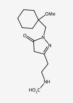 COC1(CN2N=C(CCNC(=O)O)CC2=O)CCCCC1